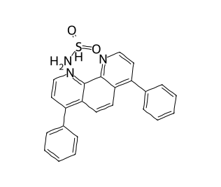 N[SH](=O)=O.c1ccc(-c2ccnc3c2ccc2c(-c4ccccc4)ccnc23)cc1